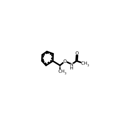 CC(=O)NO[C@@H](C)c1ccccc1